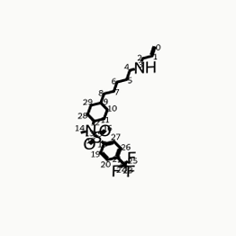 C=CCNCCCCCC1CCC(N(C)S(=O)(=O)c2ccc(C(F)(F)F)cc2)CC1